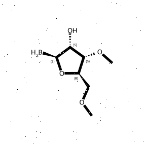 B[C@@H]1O[C@H](COC)[C@@H](OC)[C@H]1O